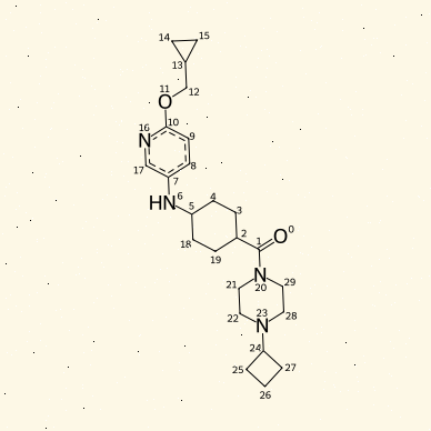 O=C(C1CCC(Nc2ccc(OCC3CC3)nc2)CC1)N1CCN(C2CCC2)CC1